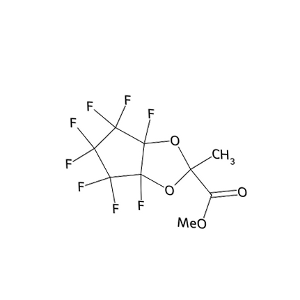 COC(=O)C1(C)OC2(F)C(F)(F)C(F)(F)C(F)(F)C2(F)O1